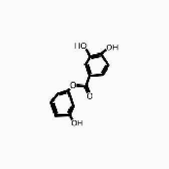 O=C(Oc1cccc(O)c1)c1ccc(O)c(O)c1